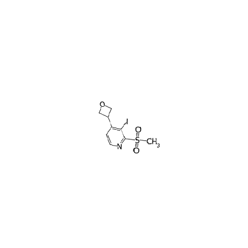 CS(=O)(=O)c1nccc(C2COC2)c1I